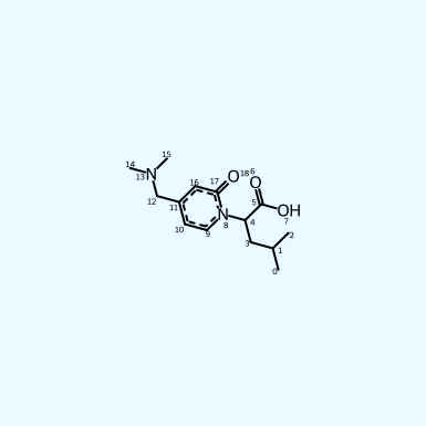 CC(C)CC(C(=O)O)n1ccc(CN(C)C)cc1=O